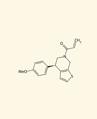 C=CC(=O)N1Cc2sccc2[C@@H](c2ccc(OC)cc2)C1